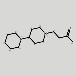 CC(=O)CCN1CCC(N2CCCCC2)CC1